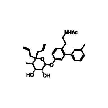 C=CCC1(CC=C)O[C@@H](Oc2ccc(CCNC(C)=O)c(-c3cccc(C)c3)c2)[C@H](O)[C@H](O)[C@H]1C